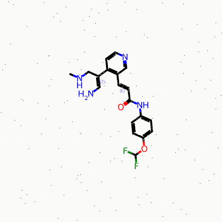 CNC/C(=C\N)c1ccncc1/C=C/C(=O)Nc1ccc(OC(F)F)cc1